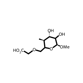 CO[C@H]1OC(COCC(=O)O)[C@@H](C)[C@H](O)C1O